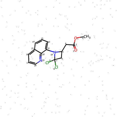 COC(=O)CC1CC(Cl)(Cl)N1c1cccc2cccnc12